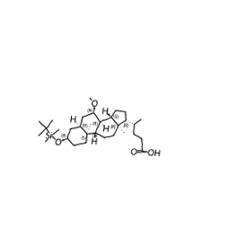 CO[C@@H]1C[C@@H]2C[C@H](O[Si](C)(C)C(C)(C)C)CC[C@]2(C)[C@H]2CC[C@]3(C)[C@@H](C(C)CCC(=O)O)CC[C@H]3[C@H]12